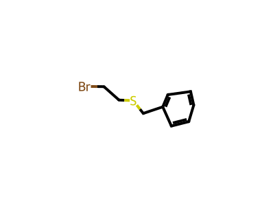 BrCCSCc1ccccc1